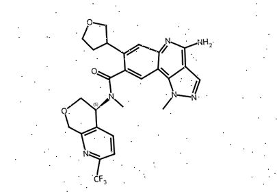 CN(C(=O)c1cc2c(cc1C1CCOC1)nc(N)c1cnn(C)c12)[C@@H]1COCc2nc(C(F)(F)F)ccc21